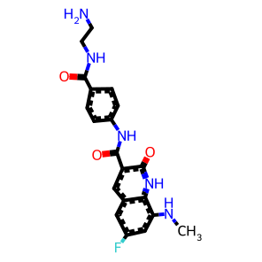 CNc1cc(F)cc2cc(C(=O)Nc3ccc(C(=O)NCCN)cc3)c(=O)[nH]c12